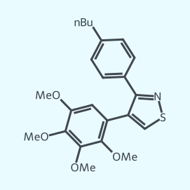 CCCCc1ccc(-c2nscc2-c2cc(OC)c(OC)c(OC)c2OC)cc1